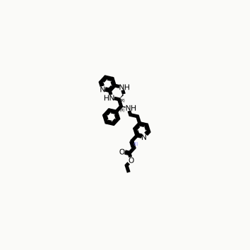 CCOC(=O)/C=C/c1cc(CCN[C@H](c2ccccc2)[C@H]2CNc3cccnc3N2)ccn1